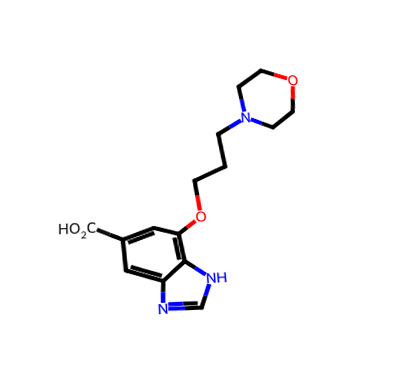 O=C(O)c1cc(OCCCN2CCOCC2)c2[nH]cnc2c1